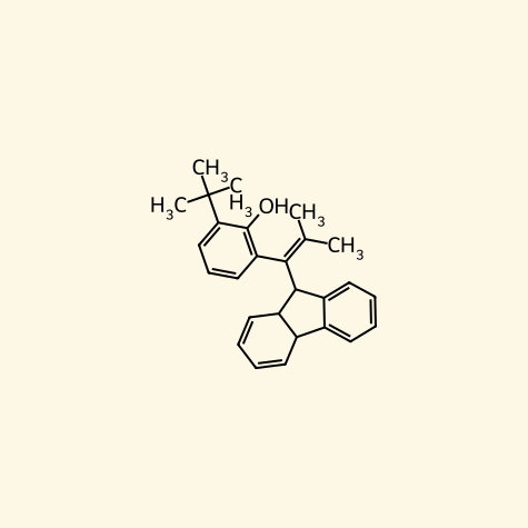 CC(C)=C(c1cccc(C(C)(C)C)c1O)C1c2ccccc2C2C=CC=CC21